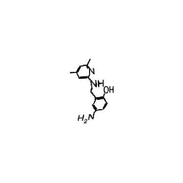 Cc1cc(C)nc(NCc2cc(N)ccc2O)c1